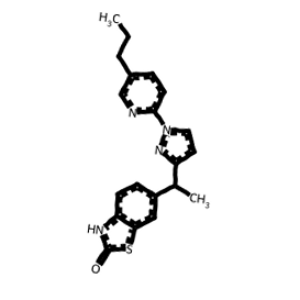 CCCc1ccc(-n2ccc(C(C)c3ccc4[nH]c(=O)sc4c3)n2)nc1